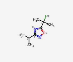 CC(C)c1noc(C(C)(C)F)n1